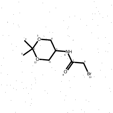 CC1(C)OCC(NC(=O)CBr)CO1